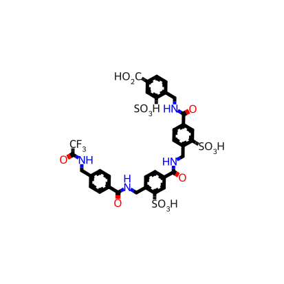 O=C(O)c1ccc(CNC(=O)c2ccc(CNC(=O)c3ccc(CNC(=O)c4ccc(CNC(=O)C(F)(F)F)cc4)c(S(=O)(=O)O)c3)c(S(=O)(=O)O)c2)c(S(=O)(=O)O)c1